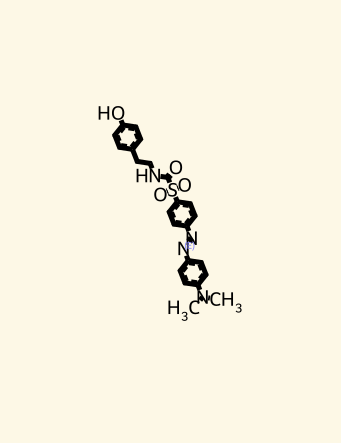 CN(C)c1ccc(/N=N/c2ccc(S(=O)(=O)C(=O)NCCc3ccc(O)cc3)cc2)cc1